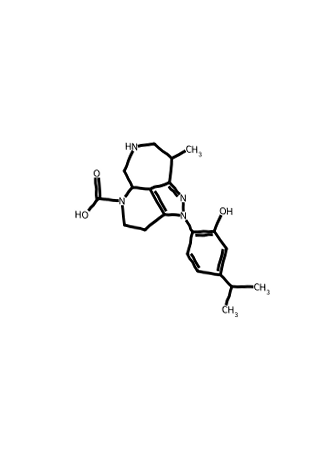 CC(C)c1ccc(-n2nc3c4c2CCN(C(=O)O)C4CNCC3C)c(O)c1